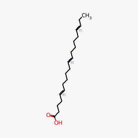 CC/C=C/CCCC/C=C/CCCC/C=C/CCCC(=O)O